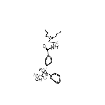 CCCN(CCC)C[C@H](C)NC(=O)c1ccc([C@@H]2[C@@H](c3ccccc3)[C@]2(F)C(=O)NO)cc1